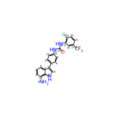 Nc1cccc2c(-c3ccc(NC(=O)Nc4cc(C(F)(F)F)ccc4F)cc3)c[nH]c12